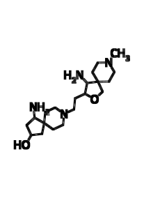 CN1CCC2(CC1)COC(CCN1CCC3(CC1)CC(O)CC3N)C2N